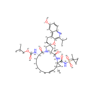 COc1ccc2nc(C(C)C)c3c(c2c1)CC[C@]1(C[C@H]2C(=O)N[C@]4(C(=O)NS(=O)(=O)C5(C)CC5)C[C@H]4/C=C\CCCCC[C@H](NC(=O)OCC(C)C)C(=O)N2C1)O3